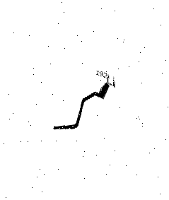 [192Li][CH2]CCC